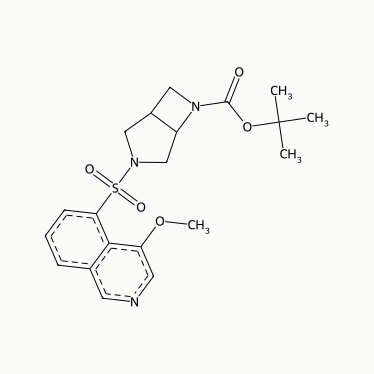 COc1cncc2cccc(S(=O)(=O)N3CC4CN(C(=O)OC(C)(C)C)C4C3)c12